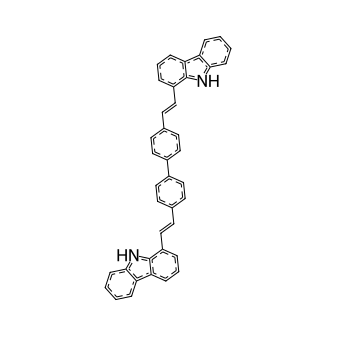 C(=Cc1cccc2c1[nH]c1ccccc12)c1ccc(-c2ccc(C=Cc3cccc4c3[nH]c3ccccc34)cc2)cc1